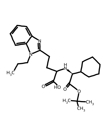 CCCn1c(CCC(N[C@H](C(=O)OC(C)(C)C)C2CCCCC2)C(=O)O)nc2ccccc21